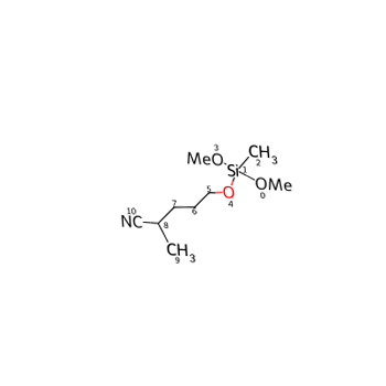 CO[Si](C)(OC)OCCCC(C)C#N